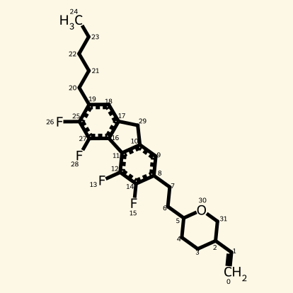 C=CC1CCC(CCc2cc3c(c(F)c2F)-c2c(cc(CCCCC)c(F)c2F)C3)OC1